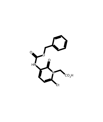 CCc1ccc(NC(=O)OCc2ccccc2)c(=O)n1CC(=O)O